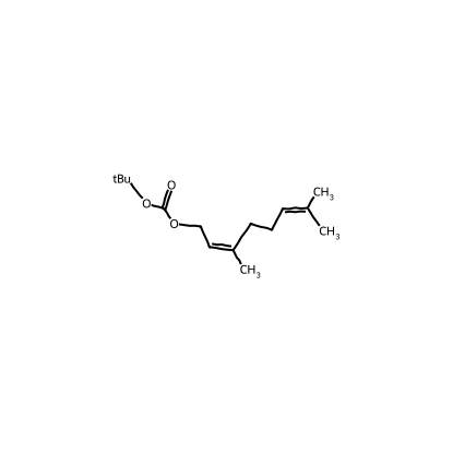 CC(C)=CCC/C(C)=C\COC(=O)OC(C)(C)C